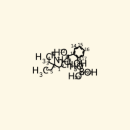 CCC(CC)(CC)N(F)I.O=C(O)c1ccccc1O.OB(O)O